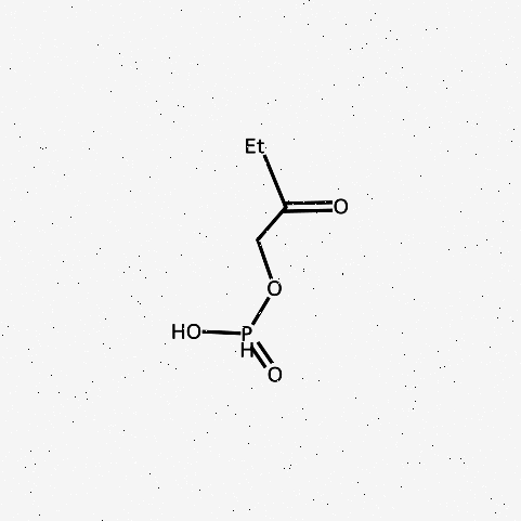 CCC(=O)CO[PH](=O)O